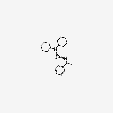 C[C@H](/N=c1\cc1N(C1CCCCC1)C1CCCCC1)c1ccccc1